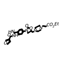 CCOC(=O)CCN1CCN(CC2CN(c3ccc(C(=N)NC(=O)c4ccoc4)cc3)C(=O)O2)CC1